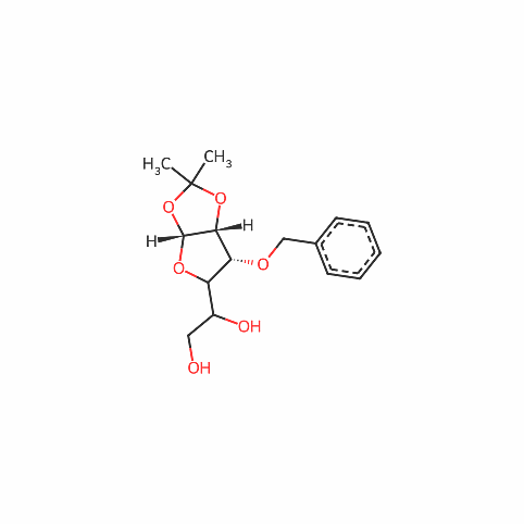 CC1(C)O[C@H]2OC(C(O)CO)[C@@H](OCc3ccccc3)[C@H]2O1